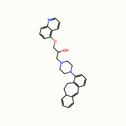 OC(COc1cccc2ncccc12)CN1CCN(c2cccc3c2CCC2C=CC=CC2=C3)CC1